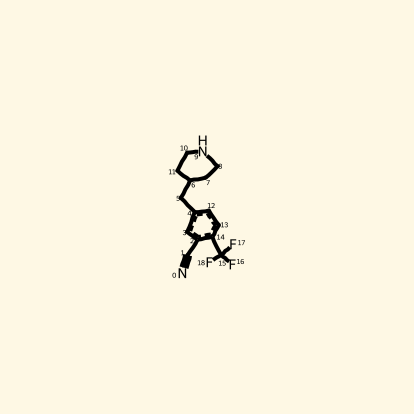 N#Cc1cc(CC2CCNCC2)ccc1C(F)(F)F